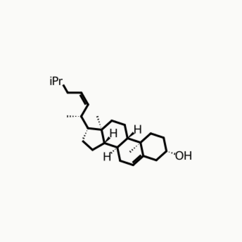 CC(C)C/C=C\[C@@H](C)[C@H]1CC[C@H]2[C@@H]3CC=C4C[C@@H](O)CC[C@]4(C)[C@H]3CC[C@]12C